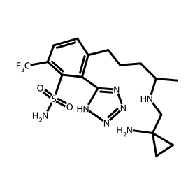 CC(CCCc1ccc(C(F)(F)F)c(S(N)(=O)=O)c1-c1nnn[nH]1)NCC1(N)CC1